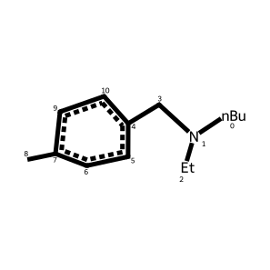 CCCCN(CC)Cc1ccc(C)cc1